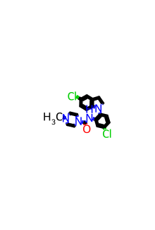 CN1CCN(C(=O)Nc2cc(Cl)ccc2N2CCc3cc(Cl)ccc32)CC1